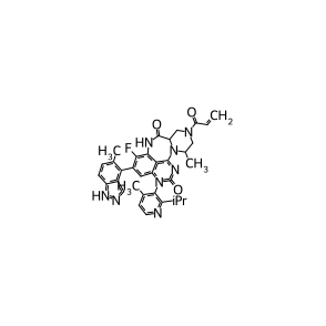 C=CC(=O)N1CC(C)N2c3nc(=O)n(-c4c(C)ccnc4C(C)C)c4cc(-c5c(C)ccc6[nH]ncc56)c(F)c(c34)NC(=O)C2C1